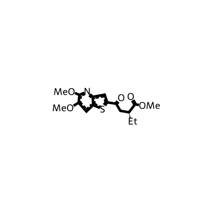 CC[C@H](CC(=O)c1cc2nc(OC)c(OC)cc2s1)C(=O)OC